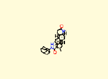 CC1C[C@H]2[C@@H]3CC[C@H]4N(C)C(=O)CC[C@]4(C)[C@H]3CC[C@]2(C)[C@H]1C(=O)NC1C2CC3CC(C2)CC1C3